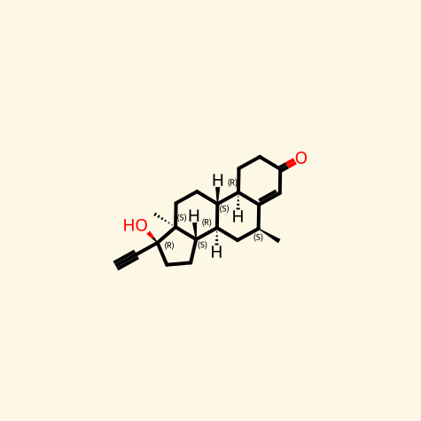 C#C[C@@]1(O)CC[C@H]2[C@@H]3C[C@H](C)C4=CC(=O)CC[C@@H]4[C@H]3CC[C@@]21C